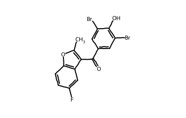 Cc1oc2ccc(F)cc2c1C(=O)c1cc(Br)c(O)c(Br)c1